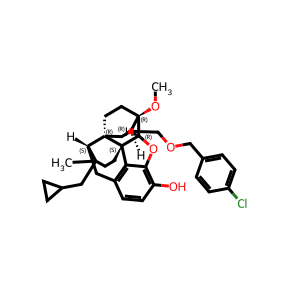 CO[C@]12CC[C@@]3(C[C@@H]1COCc1ccc(Cl)cc1)[C@H]1Cc4ccc(O)c5c4[C@@]3(CCC1(C)CC1CC1)[C@H]2O5